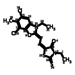 CCN1C(=O)C(=CC=C2Oc3c(cc(Cl)c(C)c3Cl)N2CC)SC1=S